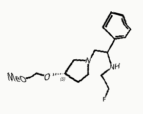 COCO[C@H]1CCN(CC(NCCF)c2ccccc2)C1